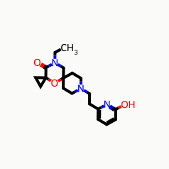 CCN1CC2(CCN(CCc3cccc(O)n3)CC2)OC2(CC2)C1=O